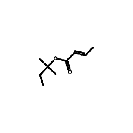 CC=CC(=O)OC(C)(C)CC